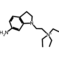 CC[N+](CC)(CC)CCN1CCc2ccc(N)cc21